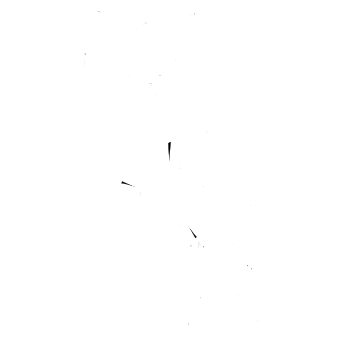 C=CO[C@@H]1C[C@H](n2cc(C)c(=O)[nH]c2=O)O[C@@H]1COP(=O)(O)OP(=O)(O)OP(=O)(O)O